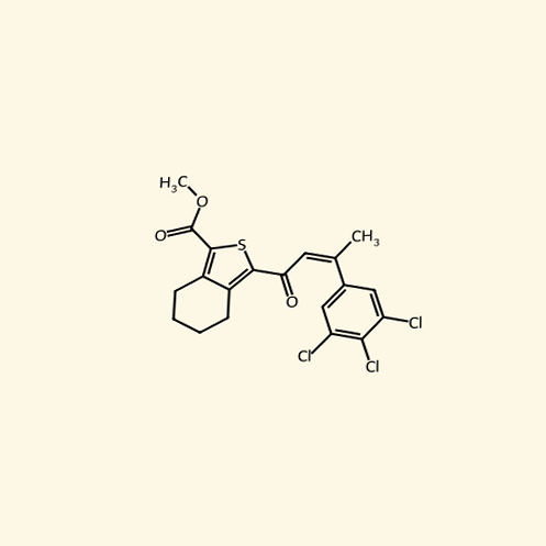 COC(=O)c1sc(C(=O)/C=C(/C)c2cc(Cl)c(Cl)c(Cl)c2)c2c1CCCC2